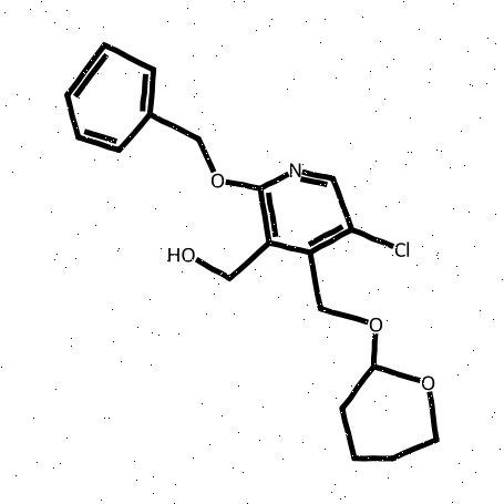 OCc1c(OCc2ccccc2)ncc(Cl)c1COC1CCCCO1